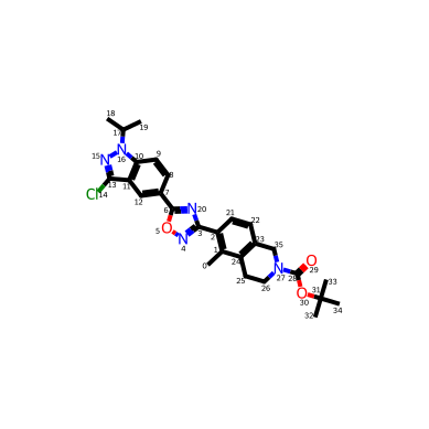 Cc1c(-c2noc(-c3ccc4c(c3)c(Cl)nn4C(C)C)n2)ccc2c1CCN(C(=O)OC(C)(C)C)C2